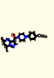 COc1ccc(N2CCN(C(=O)c3cnn4c(C)cc(C)nc34)CC2)cc1